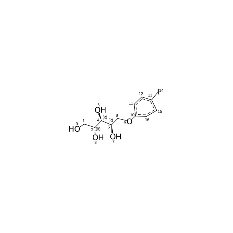 OC[C@@H](O)[C@@H](O)[C@H](O)COc1ccc(I)cc1